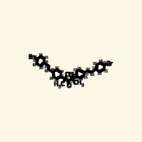 CC(C)(C(=O)C(C)(C)c1ccc(C=Cc2ccc(Br)cc2)cc1)c1ccc(C=Cc2ccc(Br)cc2)cc1